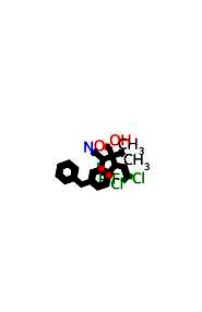 CC(C)C(C(=O)O)(C(C#N)c1cccc(Cc2ccccc2)c1)C(C=C(Cl)Cl)C(F)(F)F